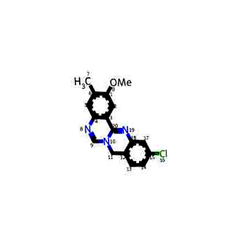 COc1cc2c(cc1C)N=CN1Cc3ccc(Cl)cc3N=C21